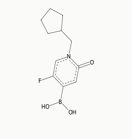 O=c1cc(B(O)O)c(F)cn1CC1CCCC1